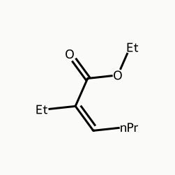 CCCC=C(CC)C(=O)OCC